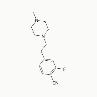 CN1CCN(CCc2ccc(C#N)c(F)c2)CC1